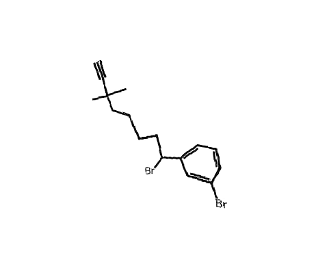 C#CC(C)(C)CCCCC(Br)c1cccc(Br)c1